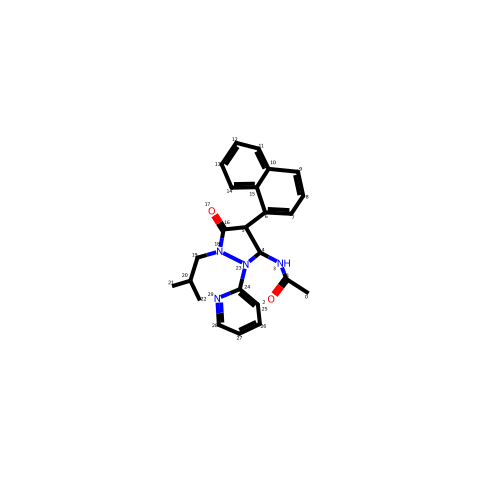 CC(=O)NC1C(c2cccc3ccccc23)C(=O)N(CC(C)C)N1c1ccccn1